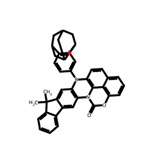 CC1(C)c2ccccc2-c2cc3c(cc21)B(c1ccc2c(c1)C1CC4CC(CC2C4)C1)c1ccc2cccc4c2c1N3C(=O)O4